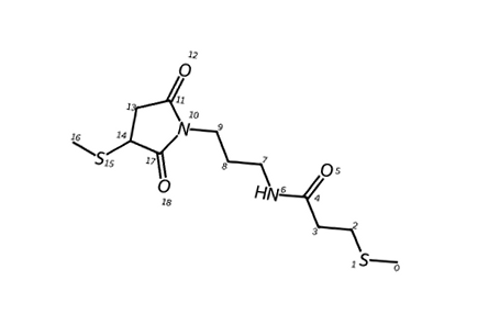 CSCCC(=O)NCCCN1C(=O)CC(SC)C1=O